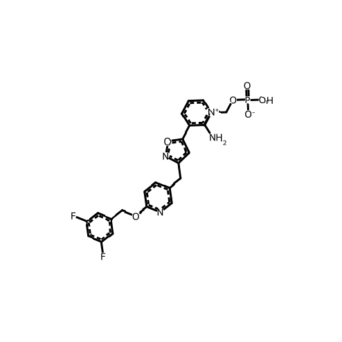 Nc1c(-c2cc(Cc3ccc(OCc4cc(F)cc(F)c4)nc3)no2)ccc[n+]1COP(=O)([O-])O